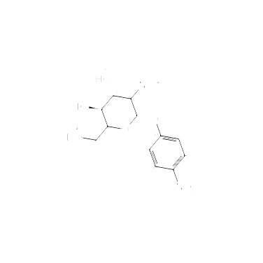 CC(=O)NC1[C@H](Oc2ccc([N+](=O)[O-])cc2)OC(CO)[C@@H](O)[C@@H]1O